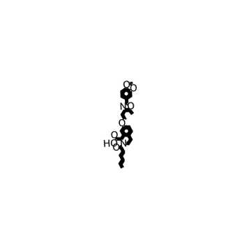 CC=CC=CC(=O)N1CCc2ccc(OCCc3nc(-c4ccc5c(c4)OCO5)oc3C)cc2C1C(=O)O